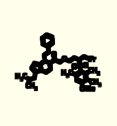 COc1cc(C)c(S(=O)(=O)N(CCOCC(=O)N2CCn3c(CN(C)C)ccc3C2CCc2ccccc2)CC(C)C)c(C)c1C